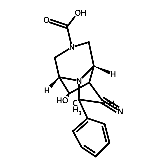 CC(C)(c1ccccc1)N1[C@@H]2CN(C(=O)O)C[C@H]1[C@H](O)C2C#N